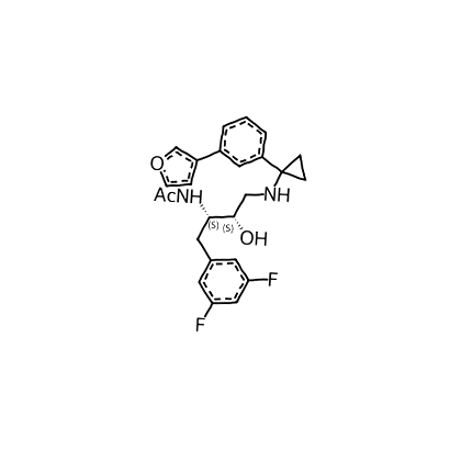 CC(=O)N[C@@H](Cc1cc(F)cc(F)c1)[C@@H](O)CNC1(c2cccc(-c3ccoc3)c2)CC1